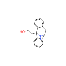 OCCC12NC(Cc3ccccc31)c1ccccc12